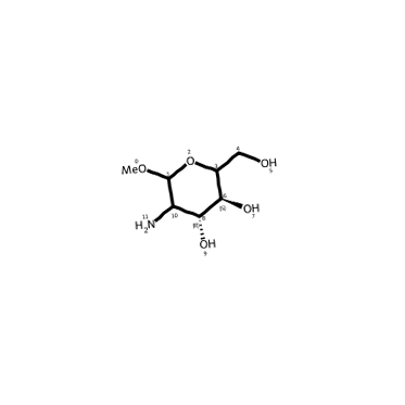 COC1OC(CO)[C@@H](O)[C@H](O)C1N